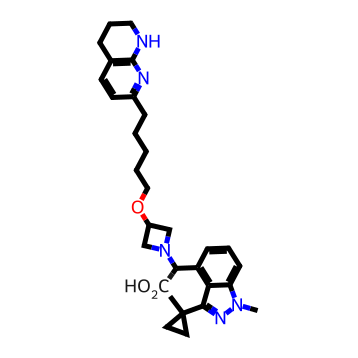 Cn1nc(C2(C)CC2)c2c(C(C(=O)O)N3CC(OCCCCCc4ccc5c(n4)NCCC5)C3)cccc21